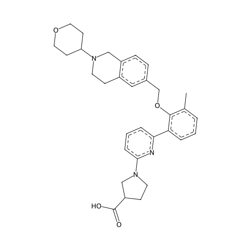 Cc1cccc(-c2cccc(N3CCC(C(=O)O)C3)n2)c1OCc1ccc2c(c1)CCN(C1CCOCC1)C2